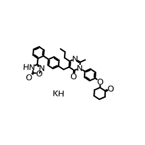 CCCc1nc(C)n(-c2ccc(OC3CCCCC3=O)cc2)c(=O)c1Cc1ccc(-c2ccccc2-c2noc(=O)[nH]2)cc1.[KH]